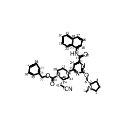 CN1CCC[C@H]1COc1nc(C(=O)Nc2cccc3ccccc23)cc(N2CCN(C(=O)OCc3ccccc3)[C@@H](CC#N)C2)n1